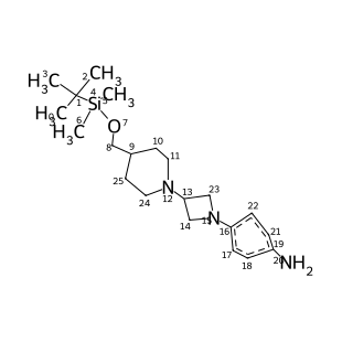 CC(C)(C)[Si](C)(C)OCC1CCN(C2CN(c3ccc(N)cc3)C2)CC1